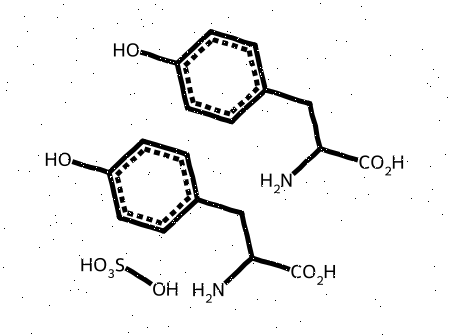 NC(Cc1ccc(O)cc1)C(=O)O.NC(Cc1ccc(O)cc1)C(=O)O.O=S(=O)(O)O